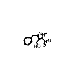 Cn1nc(Cc2ccccc2)c(CO)c1[N+](=O)[O-]